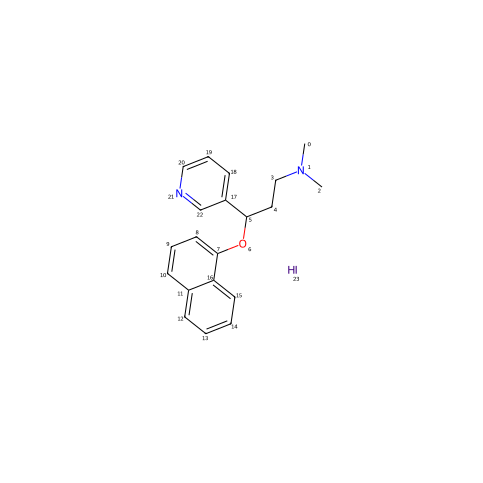 CN(C)CCC(Oc1cccc2ccccc12)c1cccnc1.I